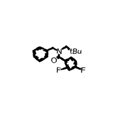 CC(C)(C)CN(Cc1ccccc1)C(=O)c1ccc(F)cc1F